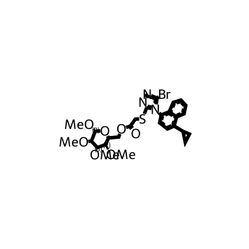 COC1[C@H](OC)OC(COC(=O)CSc2nnc(Br)n2-c2ccc(C3CC3)c3ccccc23)[C@@H](OC)[C@@H]1OC